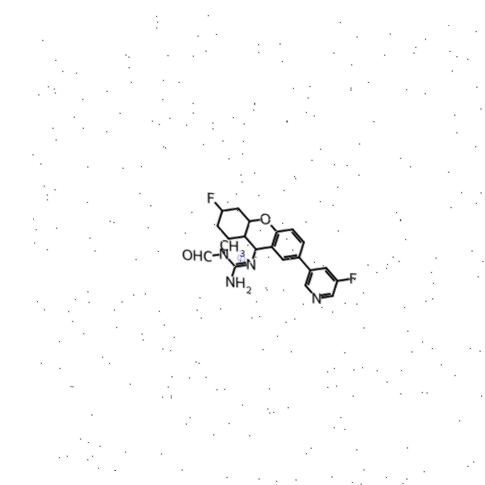 CN(C=O)/C(N)=N\C1c2cc(-c3cncc(F)c3)ccc2OC2CC(F)CCC21